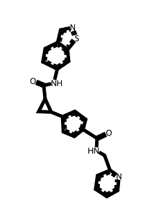 O=C(NCc1ccccn1)c1ccc(C2CC2C(=O)Nc2ccc3cnsc3c2)cc1